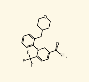 NC(=O)C1=CC=C(C(F)(F)F)N(c2ccccc2CC2CCOCC2)C1